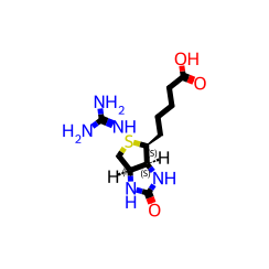 N=C(N)N.O=C(O)CCCC[C@@H]1SC[C@@H]2NC(=O)N[C@@H]21